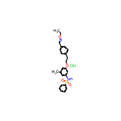 CCO/N=C/c1ccc(CCOc2cc(C)cc(NS(=O)(=O)c3ccccc3)c2)cc1.Cl